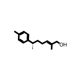 C/C(=C\CC[C@H](C)c1ccc(C)cc1)CO